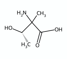 C[C@H](O)C(C)(N)C(=O)O